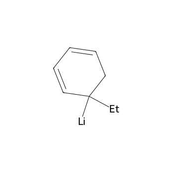 [Li][C]1(CC)C=CC=CC1